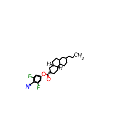 CCCC1CCC2C(CC[C@@H]3C[C@H](C(=O)Oc4cc(F)c(C#N)c(F)c4)CC[C@H]23)C1